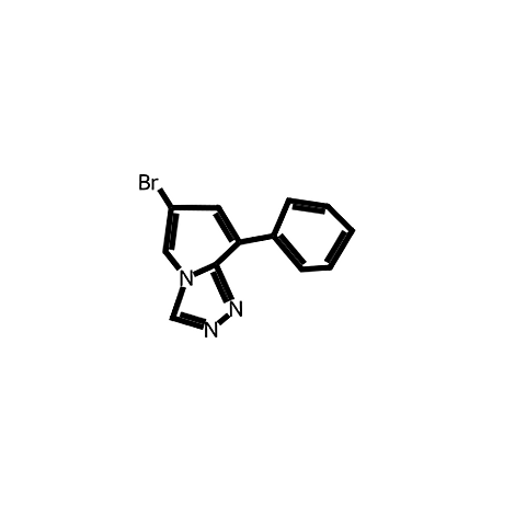 Brc1cc(-c2ccccc2)c2nncn2c1